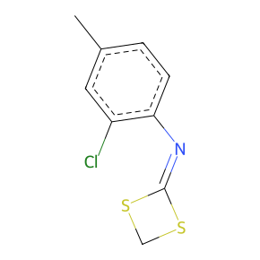 Cc1ccc(N=C2SCS2)c(Cl)c1